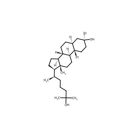 CC[C@]1(O)CC[C@@]2(CC)[C@@H](CC[C@H]3[C@@H]4CC[C@H]([C@H](C)CCCC(C)(C)O)[C@@]4(C)CC[C@@H]32)C1